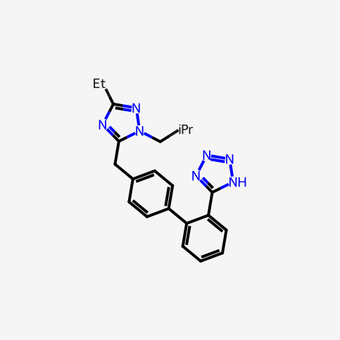 CCc1nc(Cc2ccc(-c3ccccc3-c3nnn[nH]3)cc2)n(CC(C)C)n1